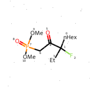 CCCCCCC(F)(CC)C(=O)CP(=O)(OC)OC